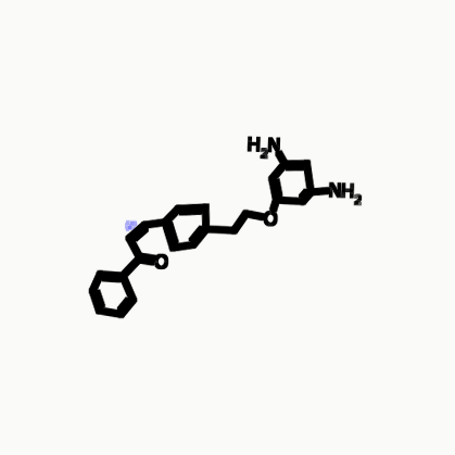 Nc1cc(N)cc(OCCc2ccc(/C=C\C(=O)c3ccccc3)cc2)c1